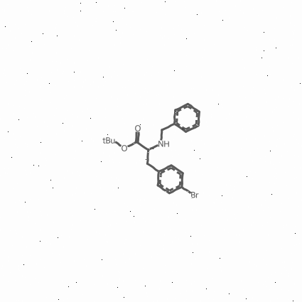 CC(C)(C)OC(=O)C(Cc1ccc(Br)cc1)NCc1ccccc1